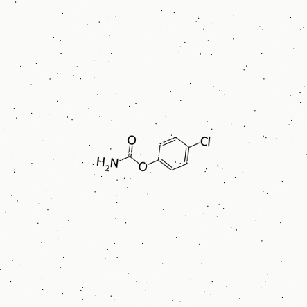 NC(=O)Oc1ccc(Cl)cc1